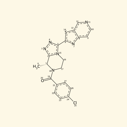 C[C@@H]1c2nnc(-c3nc4ccncc4s3)n2CCN1C(=O)c1ccc(Cl)cc1